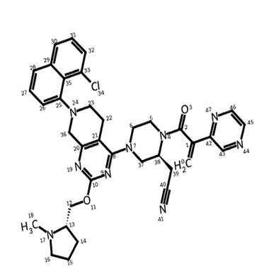 C=C(C(=O)N1CCN(c2nc(OC[C@@H]3CCCN3C)nc3c2CCN(c2cccc4cccc(Cl)c24)C3)C[C@@H]1CC#N)c1cnccn1